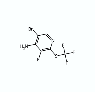 Nc1c(Br)cnc(SC(F)(F)F)c1F